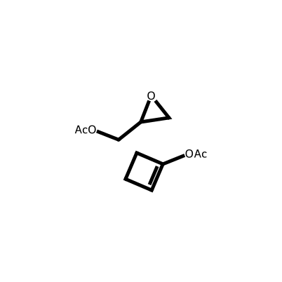 CC(=O)OC1=CCC1.CC(=O)OCC1CO1